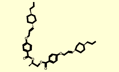 CCC[C@H]1CC[C@H](/C=C/COc2ccc(C(=O)OC[C@@H](C)OC(=O)c3ccc(OC/C=C/[C@H]4CC[C@H](CCC)CC4)cc3)cc2)CC1